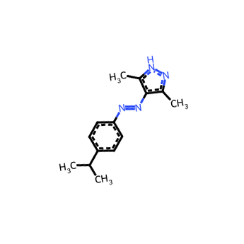 Cc1n[nH]c(C)c1N=Nc1ccc(C(C)C)cc1